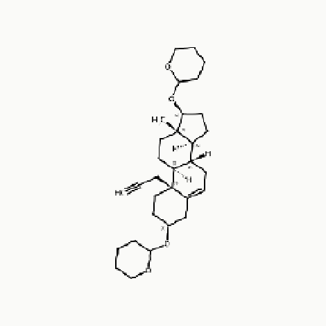 C#CC[C@]12CC[C@H](OC3CCCCO3)CC1=CC[C@@H]1[C@@H]2CC[C@]2(C)[C@@H](OC3CCCCO3)CC[C@@H]12